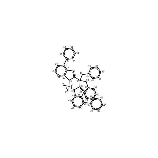 [CH3][Hf]1([CH3])[CH]2C(=Cc3c(-c4ccccc4)cccc32)C(Cc2ccccc2)(Cc2ccccc2)C2=Cc3c(-c4ccccc4)cccc3[CH]21